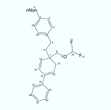 CCCCCCCCCc1ccc(CCC2(COC(F)F)C=CC(c3ccccc3)=CC2)cc1